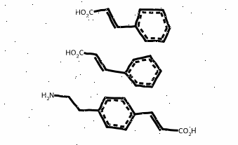 NCCc1ccc(C=CC(=O)O)cc1.O=C(O)C=Cc1ccccc1.O=C(O)C=Cc1ccccc1